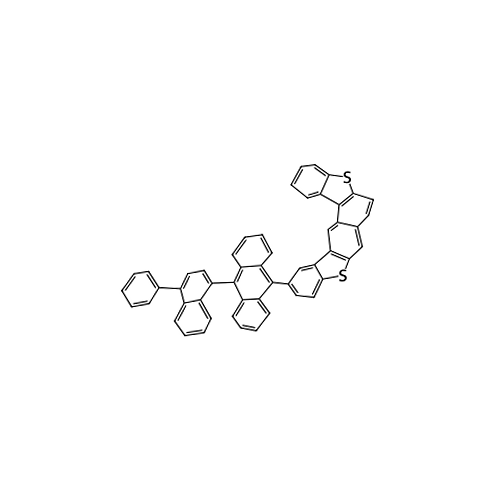 c1ccc(-c2ccc(-c3c4ccccc4c(-c4ccc5sc6cc7ccc8sc9ccccc9c8c7cc6c5c4)c4ccccc34)c3ccccc23)cc1